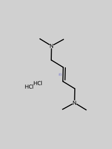 CN(C)C/C=C/CN(C)C.Cl.Cl